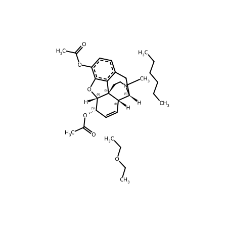 CC(=O)Oc1ccc2c3c1O[C@H]1[C@@H](OC(C)=O)C=C[C@H]4[C@@H](C2)N(C)CC[C@@]341.CCCCCC.CCOCC